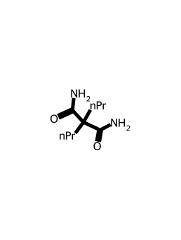 CCCC(CCC)(C(N)=O)C(N)=O